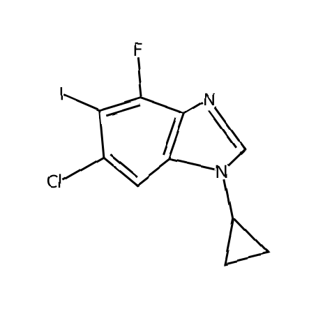 Fc1c(I)c(Cl)cc2c1ncn2C1CC1